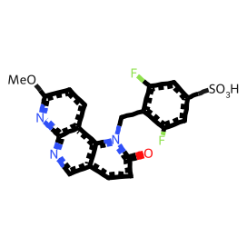 COc1ccc2c(ncc3ccc(=O)n(Cc4c(F)cc(S(=O)(=O)O)cc4F)c32)n1